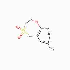 Cc1ccc2c(c1)CS(=O)(=O)CCO2